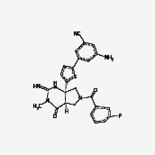 CN1C(=N)N[C@@]2(c3ccc(-c4cc(N)cc(C#N)c4)s3)CN(C(=O)c3cccc(F)c3)C[C@H]2C1=O